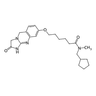 CN(CC1CCCC1)C(=O)CCCCCOc1ccc2c(c1)N=C1NC(=O)CN1C2